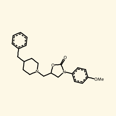 COc1ccc(N2CC(CN3CCC(Cc4ccccc4)CC3)OC2=O)cc1